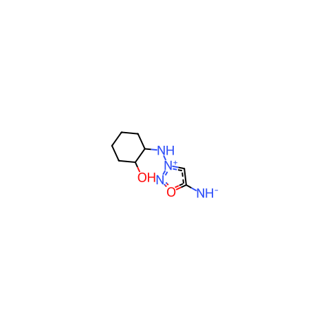 [NH-]c1c[n+](NC2CCCCC2O)no1